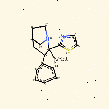 CCCCCC1(c2nccs2)[C](c2ccccc2)CC2CCN1C2